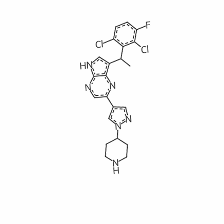 CC(c1c(Cl)ccc(F)c1Cl)c1c[nH]c2ncc(-c3cnn(C4CCNCC4)c3)nc12